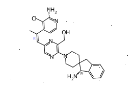 C/C(=C/c1cnc(N2CCC3(CC2)Cc2ccccc2[C@H]3N)c(CO)n1)c1ccnc(N)c1Cl